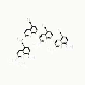 Cc1ccc2c(C#N)ccc(O)c2n1.Cc1ccc2c(C#N)ccc(O)c2n1.Cc1ccc2c(C#N)ccc(O)c2n1.Cc1ccc2c(C#N)ccc(O)c2n1.[AlH3]